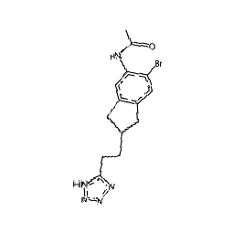 CC(=O)Nc1cc2c(cc1Br)CC(CCc1nnn[nH]1)C2